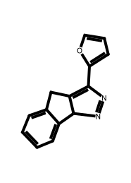 c1coc(C2=C3Cc4ccccc4C3N=N2)c1